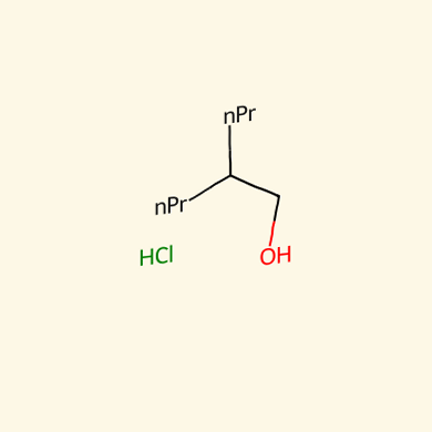 CCCC(CO)CCC.Cl